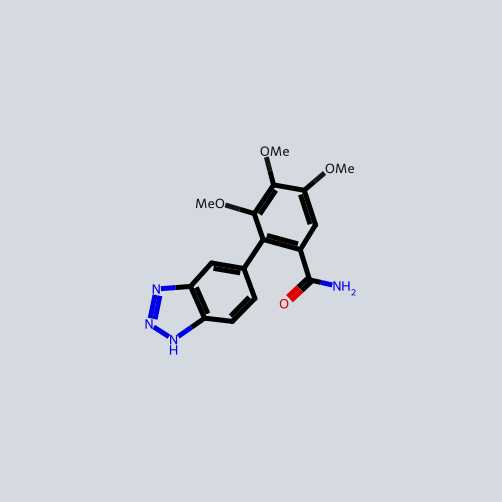 COc1cc(C(N)=O)c(-c2ccc3[nH]nnc3c2)c(OC)c1OC